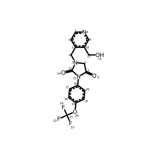 O=C1CN(Cc2ccncc2CO)C(=O)N1c1ccc(OC(F)(F)F)cc1